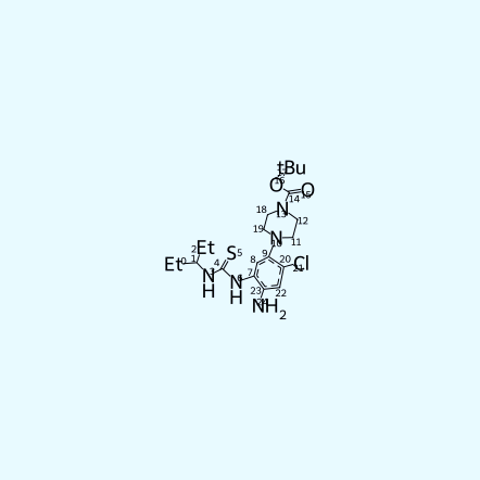 CCC(CC)NC(=S)Nc1cc(N2CCN(C(=O)OC(C)(C)C)CC2)c(Cl)cc1N